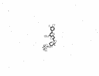 CC(C)(C)c1cc(-c2ccc(Cl)c(F)c2)nc2cc(C(=O)N3CC[C@@H](NC(=O)NS(C)(=O)=O)CC3(C)C)oc12